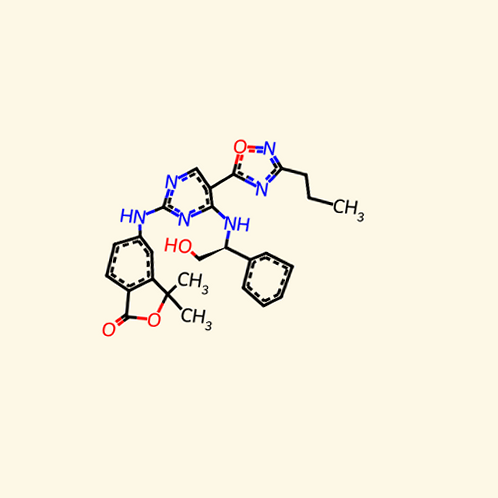 CCCc1noc(-c2cnc(Nc3ccc4c(c3)C(C)(C)OC4=O)nc2N[C@H](CO)c2ccccc2)n1